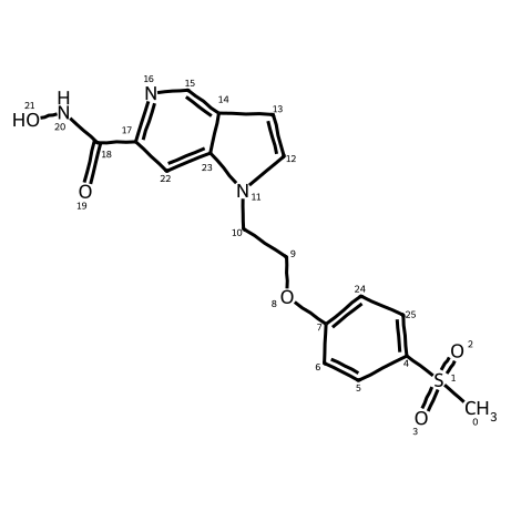 CS(=O)(=O)c1ccc(OCCn2ccc3cnc(C(=O)NO)cc32)cc1